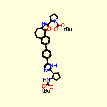 CC(C)(C)OC(=O)N[C@@H]1CCC[C@@H]1c1ncc(-c2ccc(-c3ccc4c(c3)CCCc3nc(C5CCCN5C(=O)OC(C)(C)C)oc3-4)cc2)[nH]1